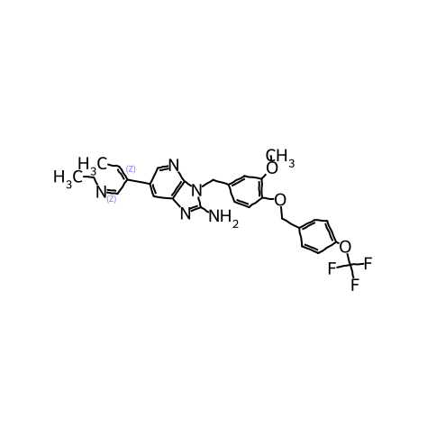 C/C=C(\C=N/CC)c1cnc2c(c1)nc(N)n2Cc1ccc(OCc2ccc(OC(F)(F)F)cc2)c(OC)c1